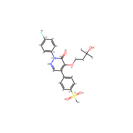 CC(C)(O)CCOc1c(-c2ccc(S(C)(=O)=O)cc2)cnn(-c2ccc(F)cc2)c1=O